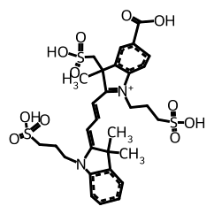 CC1(CS(=O)(=O)O)C(/C=C/C=C2/N(CCCS(=O)(=O)O)c3ccccc3C2(C)C)=[N+](CCCS(=O)(=O)O)c2ccc(C(=O)O)cc21